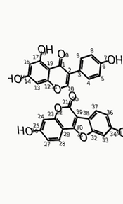 O=c1c(-c2ccc(O)cc2)coc2cc(O)cc(O)c12.O=c1oc2cc(O)ccc2c2oc3cc(O)ccc3c12